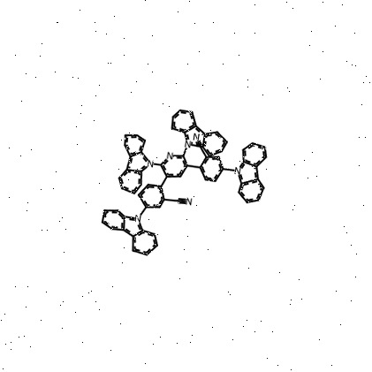 N#Cc1cc(-n2c3ccccc3c3ccccc32)ccc1-c1cc(-c2ccc(-n3c4ccccc4c4ccccc43)cc2C#N)c(-n2c3ccccc3c3ccccc32)nc1-n1c2ccccc2c2ccccc21